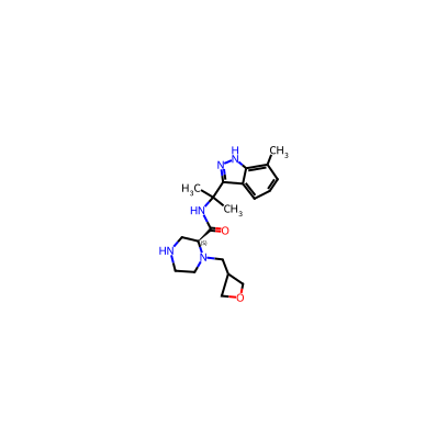 Cc1cccc2c(C(C)(C)NC(=O)[C@@H]3CNCCN3CC3COC3)n[nH]c12